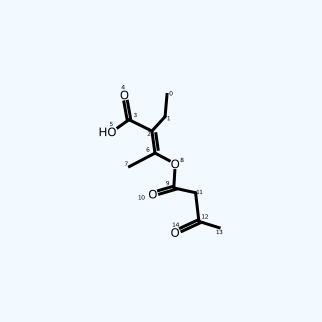 CCC(C(=O)O)=C(C)OC(=O)CC(C)=O